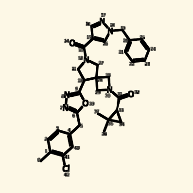 Cc1ccc(Cc2nnc(C3CN(C(=O)c4cnn(Cc5ccccc5)c4)CC34CN(C(=O)[C@H]3CC3(C)C)C4)o2)cc1Cl